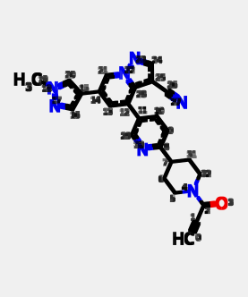 C#CC(=O)N1CCC(c2ccc(-c3cc(-c4cnn(C)c4)cn4ncc(C#N)c34)cn2)CC1